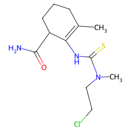 CC1=C(NC(=S)N(C)CCCl)C(C(N)=O)CCC1